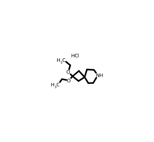 CCOC1(OCC)CC2(CCNCC2)C1.Cl